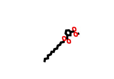 CCCCCCCCCCCCCOC(=O)C1CCCC(C(=O)OC)C1